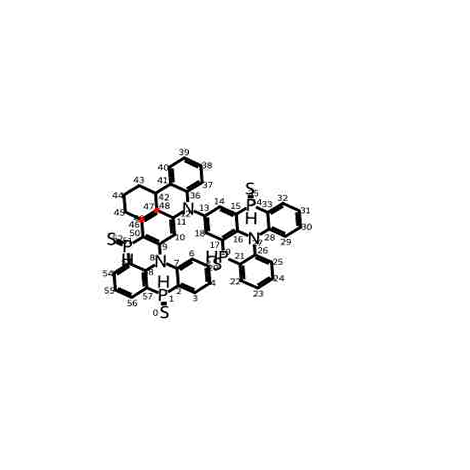 S=[PH]1c2ccccc2N2c3cc(N(c4cc5c6c(c4)[PH](=S)c4ccccc4N6c4ccccc4[PH]5=S)c4ccccc4C4CCCCC4)ccc3[PH](=S)c3cccc1c32